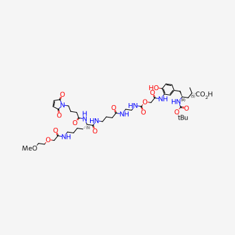 COCCOCC(=O)NCCCC[C@H](NC(=O)CCCN1C(=O)C=CC1=O)C(=O)NCCCC(=O)NCCNC(=O)OCC(=O)Nc1cc(C[C@@H](C[C@H](C)C(=O)O)NC(=O)OC(C)(C)C)ccc1O